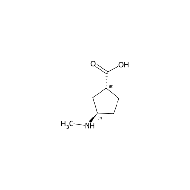 CN[C@@H]1CC[C@@H](C(=O)O)C1